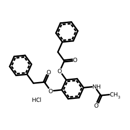 CC(=O)Nc1ccc(OC(=O)Cc2ccccc2)c(OC(=O)Cc2ccccc2)c1.Cl